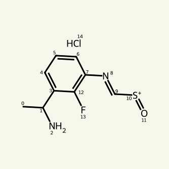 CC(N)c1cccc(N=C[S+]=O)c1F.Cl